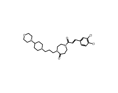 O=C(C=Cc1ccc(Cl)c(Cl)c1)N1CCC(=O)N(CCCN2CCC(N3CCOCC3)CC2)CC1